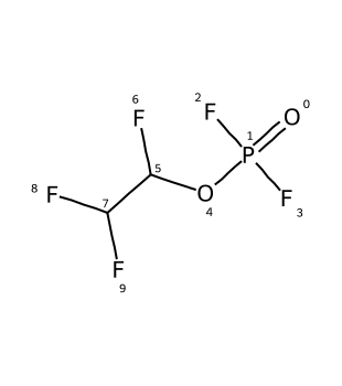 O=P(F)(F)OC(F)C(F)F